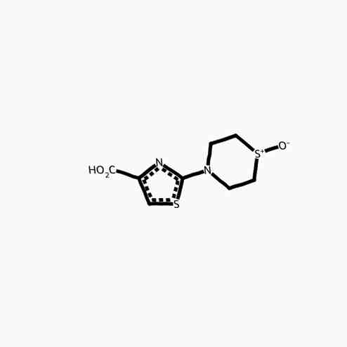 O=C(O)c1csc(N2CC[S+]([O-])CC2)n1